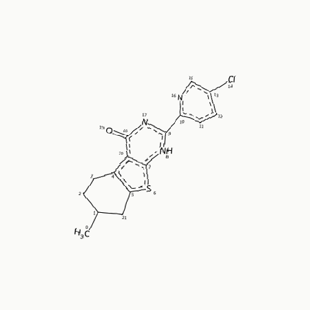 CC1CCc2c(sc3[nH]c(-c4ccc(Cl)cn4)nc(=O)c23)C1